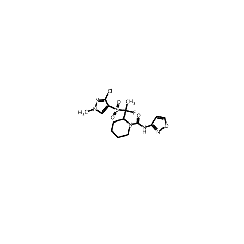 Cn1cc(S(=O)(=O)C(C)(F)C2CCCCN2C(=O)Nc2ccon2)c(Cl)n1